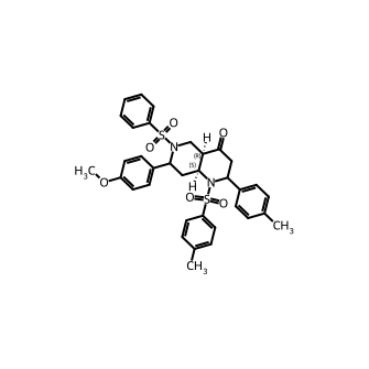 COc1ccc(C2C[C@H]3[C@@H](CN2S(=O)(=O)c2ccccc2)C(=O)CC(c2ccc(C)cc2)N3S(=O)(=O)c2ccc(C)cc2)cc1